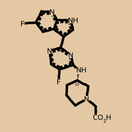 O=C(O)CN1CCC[C@H](Nc2nc(-c3c[nH]c4ncc(F)cc34)ncc2F)C1